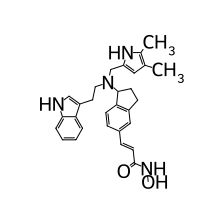 Cc1cc(CN(CCc2c[nH]c3ccccc23)C2CCc3cc(C=CC(=O)NO)ccc32)[nH]c1C